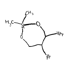 CC(C)C1CO[Si](C)(C)OC1C(C)C